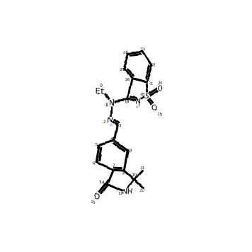 CCN(/N=C/c1ccc2c(c1)C(C)(C)NC2=O)C1=NS(=O)(=O)c2ccccc21